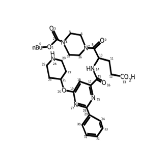 CCCCOC(=O)N1CCN(C(=O)C(CCC(=O)O)NC(=O)c2cc(OC3CCNCC3)nc(-c3ccccc3)n2)CC1